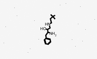 CC(C)(C)CCNCC(O)C(N)Cc1ccccc1